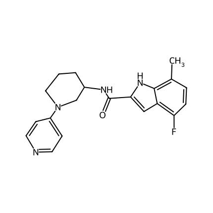 Cc1ccc(F)c2cc(C(=O)NC3CCCN(c4ccncc4)C3)[nH]c12